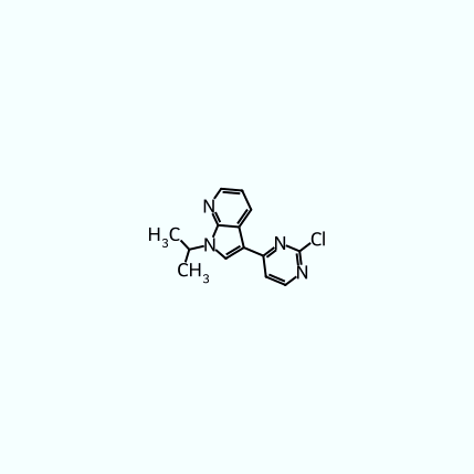 CC(C)n1cc(-c2ccnc(Cl)n2)c2cccnc21